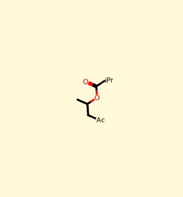 CC(=O)CC(C)OC(=O)C(C)C